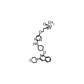 CS(=O)(=O)NCCOc1cnc(N[C@H]2CC[C@@H](Oc3nc(N4CCOCC4)cc4ccccc34)CC2)nc1